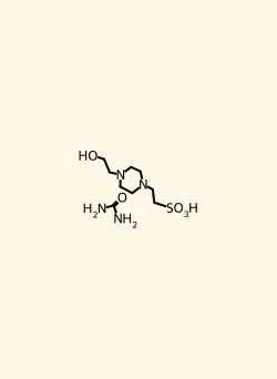 NC(N)=O.O=S(=O)(O)CCN1CCN(CCO)CC1